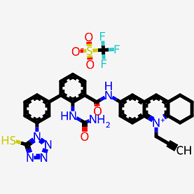 C#CC[n+]1c2c(cc3cc(NC(=O)c4cccc(-c5cccc(-n6nnnc6S)c5)c4NC(N)=O)ccc31)CCCC2.O=S(=O)([O-])C(F)(F)F